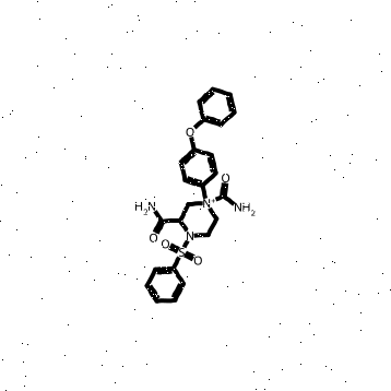 NC(=O)C1C[N+](C(N)=O)(c2ccc(Oc3ccccc3)cc2)CCN1S(=O)(=O)c1ccccc1